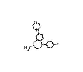 CN1CCN(c2ccc(F)cc2)c2ccc(N3CCOCC3)cc2C1